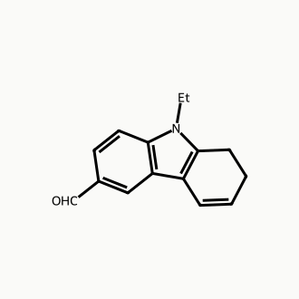 CCn1c2c(c3cc(C=O)ccc31)C=CCC2